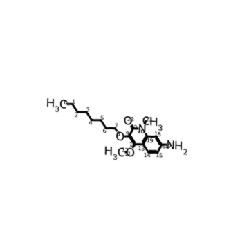 CCCCCCCCOc1c(OC)c2ccc(N)cc2n(C)c1=O